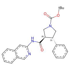 CC(C)(C)OC(=O)N1C[C@H](C(=O)Nc2cc3ccccc3cn2)[C@@H](c2ccccc2)C1